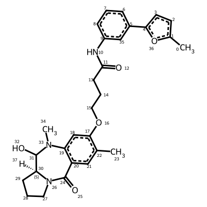 Cc1ccc(-c2cccc(NC(=O)CCCOc3cc4c(cc3C)C(=O)N3CCC[C@H]3C(O)N4C)c2)o1